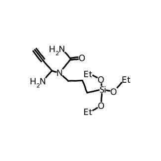 C#CC(N)N(CCC[Si](OCC)(OCC)OCC)C(N)=O